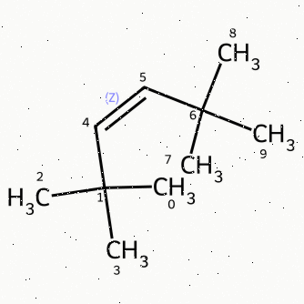 CC(C)(C)/C=C\C(C)(C)C